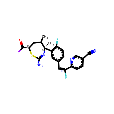 CC1C[C@H](C(=O)I)SC(N)=N[C@]1(C)c1cc(/C=C(/F)c2ccc(C#N)cn2)ccc1F